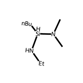 CCCC[SiH](NCC)N(C)C